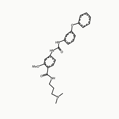 COc1cc(NC(=O)Nc2cccc(Oc3ccccc3)c2)ccc1C(=O)NCCCN(C)C